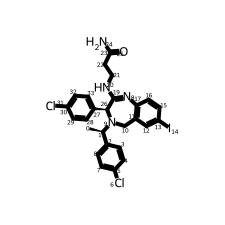 C[C@H](c1ccc(Cl)cc1)N1Cc2cc(I)ccc2N=C(NCCC(N)=O)[C@@H]1c1ccc(Cl)cc1